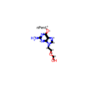 CCCCCOc1nc(N)nc2c1ncn2CCOCO